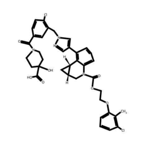 Cc1c(Cl)cccc1OCCOC(=O)N1C[C@@H]2C[C@@H]2c2c(-c3cnn(Cc4cc(C(=O)N5CCC(O)(C(=O)O)CC5)ccc4Cl)c3)cccc21